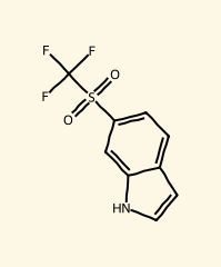 O=S(=O)(c1ccc2cc[nH]c2c1)C(F)(F)F